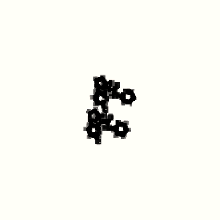 O=C(Nc1ccccn1)N1c2nc(Cl)ccc2N2CC[C@H]1C2.O=C(Nc1ccccn1)N1c2nc(Cl)ccc2N2CC[C@H]1C2